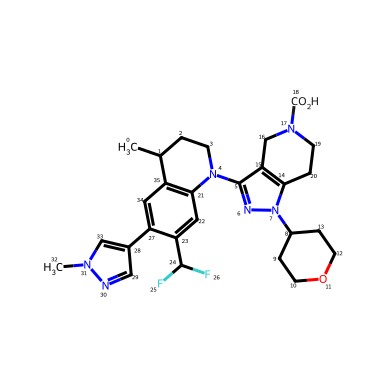 CC1CCN(c2nn(C3CCOCC3)c3c2CN(C(=O)O)CC3)c2cc(C(F)F)c(-c3cnn(C)c3)cc21